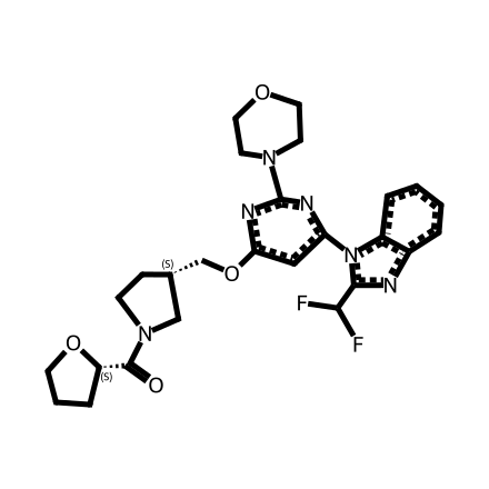 O=C([C@@H]1CCCO1)N1CC[C@H](COc2cc(-n3c(C(F)F)nc4ccccc43)nc(N3CCOCC3)n2)C1